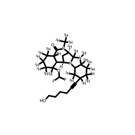 [2H]N1C2([2H])C(N3[C@@H]4C[C@@]([2H])(N(C([2H])([2H])[2H])C(=O)C5([2H])C4C([2H])(OC(F)F)C([2H])([2H])C([2H])([2H])C5([2H])[2H])C31[2H])C([2H])([2H])C([2H])(C#CCCCCO)C([2H])([2H])C2([2H])[2H]